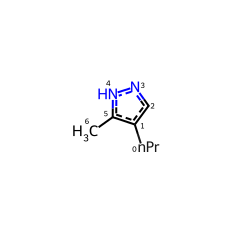 CCCc1cn[nH]c1C